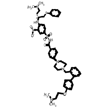 CN(C)CCOc1ccc(-c2ccccc2CN2CCN(c3ccc(C(=O)NS(=O)(=O)c4ccc(N[C@H](CCN(C)C)CSc5ccccc5)c([N+](=O)[O-])c4)cc3)CC2)cc1